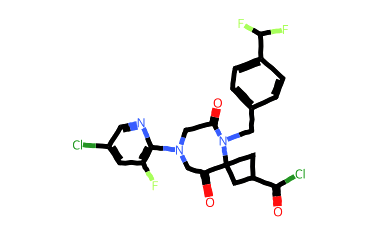 O=C(Cl)C1CC2(C1)C(=O)CN(c1ncc(Cl)cc1F)CC(=O)N2Cc1ccc(C(F)F)cc1